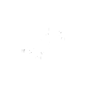 CC(CC(=O)O)Oc1ccc2c(c1)C=C(n1ccnc1)C(C)O2